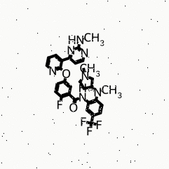 CNc1nccc(-c2cccnc2Oc2ccc(F)c(C(=O)Nc3cc(C(F)(F)F)ccc3N(C)[C@H]3CCN(C)C3)c2)n1